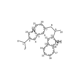 CC(C)c1cc2cc(CC(C)c3cc4ccccc4[nH]3)ccn2c1